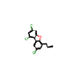 C=CCc1cc(Cl)cc2c1oc1cc(Cl)cc(Cl)c12